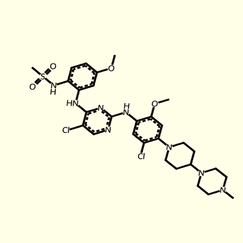 COc1ccc(NS(C)(=O)=O)c(Nc2nc(Nc3cc(Cl)c(N4CCC(N5CCN(C)CC5)CC4)cc3OC)ncc2Cl)c1